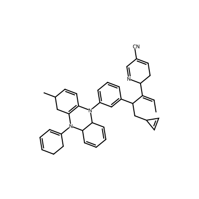 C/C=C(/C1CC=C(C#N)C=N1)C(CC1C=C1)c1cccc(N2C3=C(CC(C)C=C3)N(C3=CC=CCC3)C3C=CC=CC32)c1